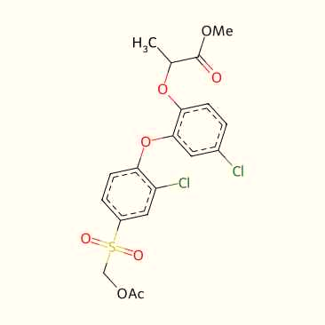 COC(=O)C(C)Oc1ccc(Cl)cc1Oc1ccc(S(=O)(=O)COC(C)=O)cc1Cl